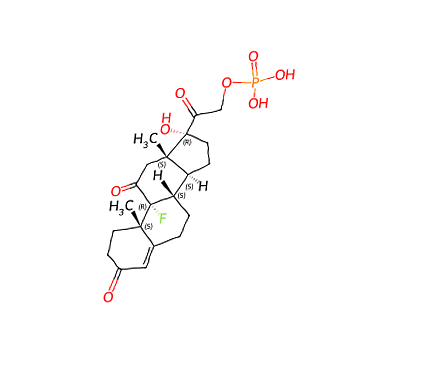 C[C@]12CCC(=O)C=C1CC[C@H]1[C@@H]3CC[C@](O)(C(=O)COP(=O)(O)O)[C@@]3(C)CC(=O)[C@@]12F